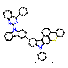 c1ccc(-c2nc(-n3c4ccccc4c4cc(-c5ccc6c(c5)c5c7cccc8c7c(cc5n6-c5ccccc5)Sc5ccccc5-8)ccc43)nc3ccccc23)cc1